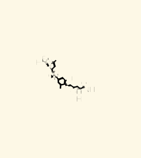 CCNc1nc(C)cc(-c2nc(-c3cc(C)c(OC[C@@H](O)CC(O)C(N)=O)c(CC)c3)no2)n1